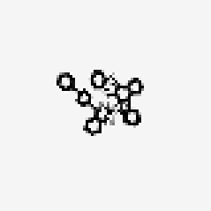 c1ccc(-c2ccc(-c3nc(-n4c5ccccc5c5c6ccccc6c6c(c54)Sc4ccccc4S6)nc4ccccc34)cc2)cc1